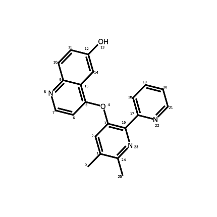 Cc1cc(Oc2ccnc3ccc(O)cc23)c(-c2ccccn2)nc1C